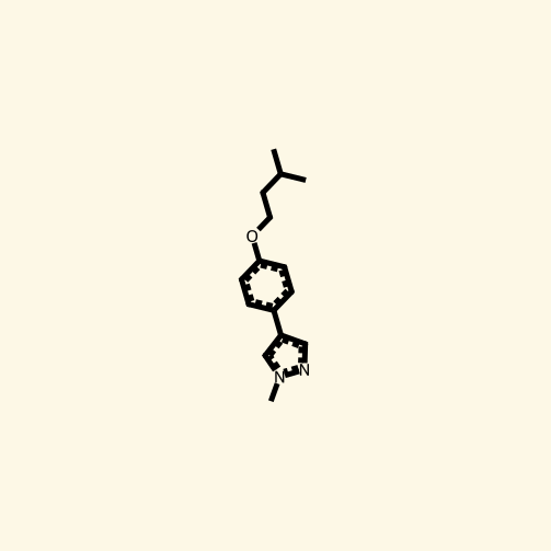 CC(C)CCOc1ccc(-c2cnn(C)c2)cc1